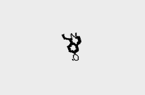 CCc1nccc2cc(OC)ccc12